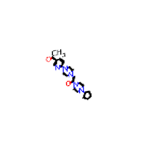 CC(=O)c1ccc(N2CCN(CC(=O)N3CCN(C4CCCC4)CC3)CC2)nc1